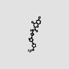 O=C1C[C@H](C(=O)NC23CC(n4cc(N5CCC(OC(F)(F)F)C5)cn4)(C2)C3)Oc2ccc(Cl)cc21